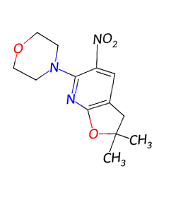 CC1(C)Cc2cc([N+](=O)[O-])c(N3CCOCC3)nc2O1